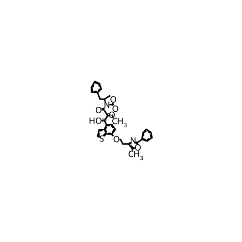 CO[C@H](C(=O)N1C(=O)OCC1Cc1ccccc1)[C@H](O)c1ccc(OCCc2nc(-c3ccccc3)oc2C)c2sccc12